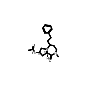 CC(=O)N[C@@H]1C[C@H]2C(=O)N(C)CCC(CCc3ccccc3)N2C1